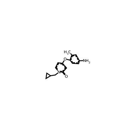 Cc1cc(N)ccc1Oc1ccn(CC2CC2)c(=O)c1